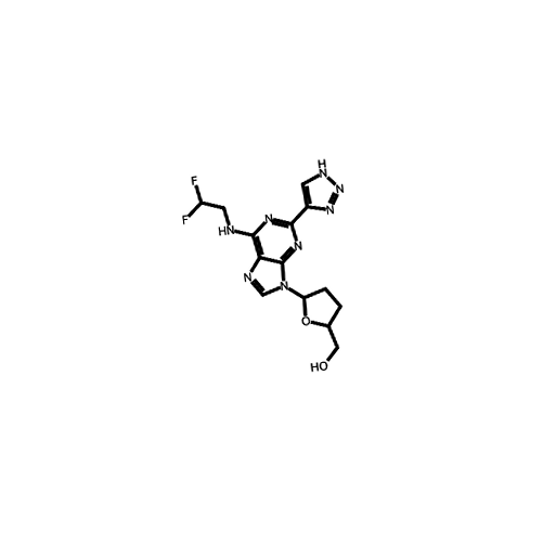 OCC1CCC(n2cnc3c(NCC(F)F)nc(-c4c[nH]nn4)nc32)O1